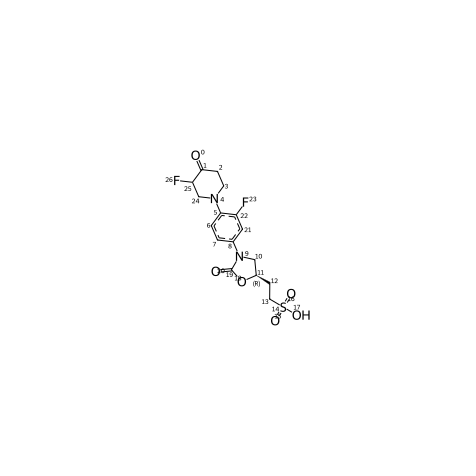 O=C1CCN(c2ccc(N3C[C@@H](CCS(=O)(=O)O)OC3=O)cc2F)CC1F